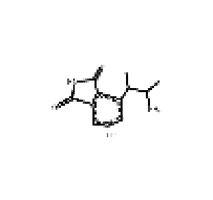 CC(N)C(C)c1cccc2c1C(=O)NC2=O.Cl